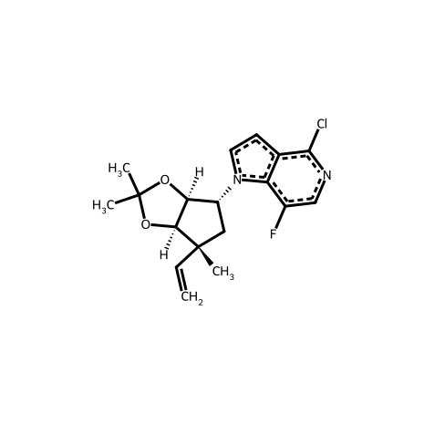 C=C[C@@]1(C)C[C@@H](n2ccc3c(Cl)ncc(F)c32)[C@@H]2OC(C)(C)O[C@@H]21